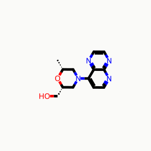 C[C@@H]1CN(c2ccnc3nccnc23)C[C@H](CO)O1